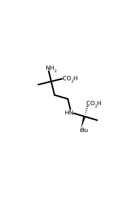 CC[C@H](C)[C@](C)(NCCC(C)(N)C(=O)O)C(=O)O